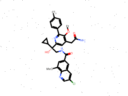 CCOc1c(CC(N)=O)cc([C@@](O)(CNC(=O)c2cc(OC)c3ncc(Cl)cc3c2)C2CC2)nc1-c1ccc(C(F)(F)F)cc1